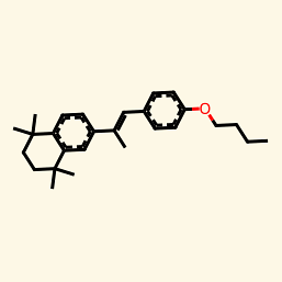 CCCCOc1ccc(C=C(C)c2ccc3c(c2)C(C)(C)CCC3(C)C)cc1